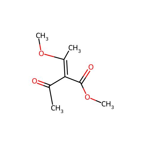 COC(=O)/C(C(C)=O)=C(\C)OC